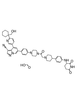 N#Cc1cnn2cc(-c3ccc(N4CCN(C(=O)CN5CCC(c6ccc(NC7CCC(=O)NC7=O)cc6)CC5)CC4)cc3)cc(-c3ccc(C4(CO)CCCCC4)nc3)c12.O=CO